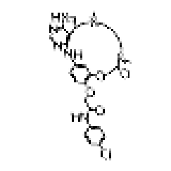 CN1CCCCN(C)C(=O)COc2cc(ccc2OCC(=O)Nc2ccc(Cl)cc2)Nc2ncnc3[nH]cc(c23)C1